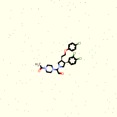 CC(=O)N1CCN(C(C=O)N2C[C@@H](CCOc3ccc(Cl)cc3)[C@@H](c3ccc(Cl)c(Cl)c3)C2)CC1